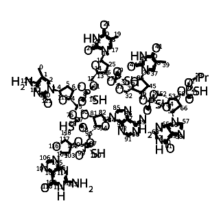 Cc1cn([C@H]2C[C@H](O[P@](=O)(S)OC[C@H]3O[C@@H](n4cc(C)c(=O)[nH]c4=O)C[C@@H]3O[P@](=O)(S)OC[C@H]3O[C@@H](n4cc(C)c(=O)[nH]c4=O)C[C@@H]3O[P@](=O)(S)OC[C@H]3O[C@@H](n4cnc5c(=O)[nH]cnc54)C[C@@H]3O[P@](=O)(S)OC(C)C)[C@@H](CO[P@@](=O)(S)O[C@H]3C[C@H](n4cnc5c(N)ncnc54)O[C@@H]3CO[P@@](=O)(S)O[C@H]3C[C@H](n4cnc5c(=O)[nH]c(N)nc54)O[C@@H]3C)O2)c(=O)nc1N